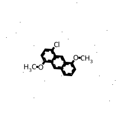 COc1cccc2cc3c(OC)ccc(Cl)c3cc12